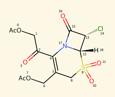 CC(=O)OCC(=O)C1=C(COC(C)=O)CS(=O)(=O)[C@H]2[C@@H](Cl)C(=O)N12